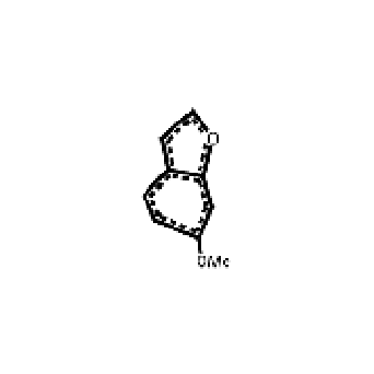 COc1ccc2c[c]oc2c1